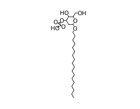 CCCCCCCCCCCCCCCCCCOC1CC(OS(=O)(=O)O)C(O)C(CO)O1